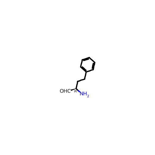 N[C@@H](C=O)CCc1ccccc1